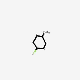 COC1CCC(F)CC1